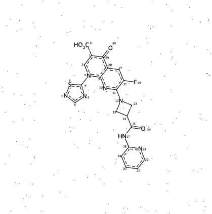 O=C(O)c1cn(-c2ncns2)c2nc(N3CC(C(=O)Nc4ccccn4)C3)c(F)cc2c1=O